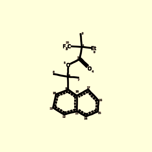 CCC(C)(C(=O)OC(C)(C)c1cccc2ccccc12)C(F)(F)F